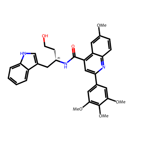 COc1ccc2nc(-c3cc(OC)c(OC)c(OC)c3)cc(C(=O)N[C@@H](CCO)Cc3c[nH]c4ccccc34)c2c1